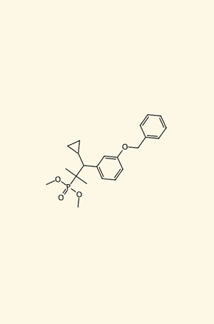 COP(=O)(OC)C(C)(C)C(c1cccc(OCc2ccccc2)c1)C1CC1